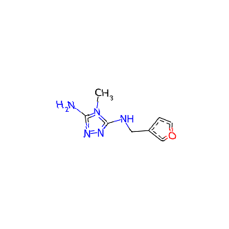 Cn1c(N)nnc1NCc1ccoc1